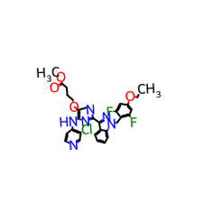 CCOc1cc(F)c(Cn2nc(-c3ncc(OCCCC(=O)OC)c(Nc4ccncc4Cl)n3)c3ccccc32)c(F)c1